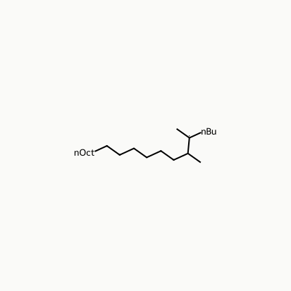 CCCCCCCCCCCCCCC(C)[C](C)CCCC